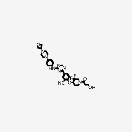 N#Cc1cc(-c2ncnc(Nc3ccc(N4CCN(C5COC5)CC4)cc3)n2)ccc1OC1CCN(C(=O)CCO)CC1(F)F